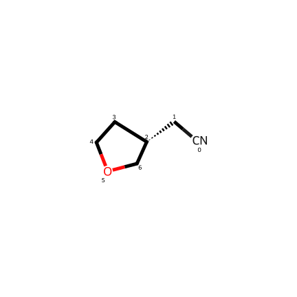 N#CC[C@H]1CCOC1